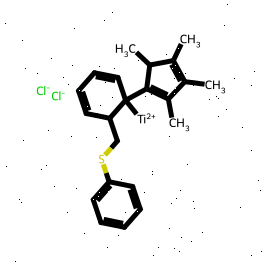 CC1=C(C)C(C)C([C]2([Ti+2])C=CC=CC2CSc2ccccc2)=C1C.[Cl-].[Cl-]